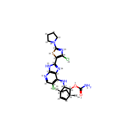 NC(=O)O[C@@H]1[C@H](Nc2c(Br)cnc3[nH]c(-c4sc(N5CCCC5)nc4Cl)nc23)[C@H]2C=C[C@@H]1C2